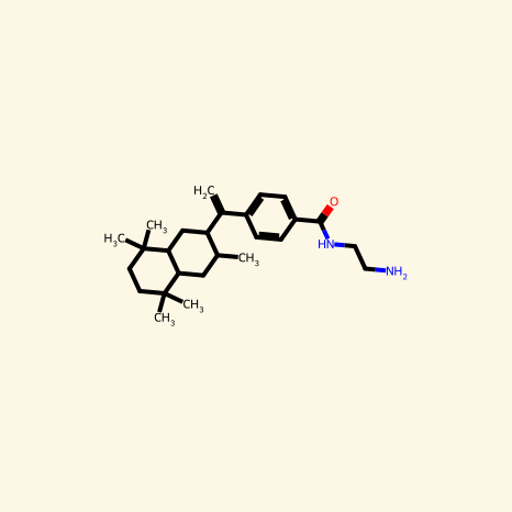 C=C(c1ccc(C(=O)NCCN)cc1)C1CC2C(CC1C)C(C)(C)CCC2(C)C